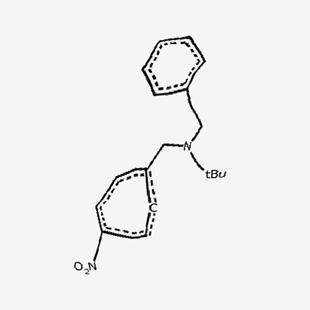 CC(C)(C)N(Cc1ccccc1)Cc1ccc([N+](=O)[O-])cc1